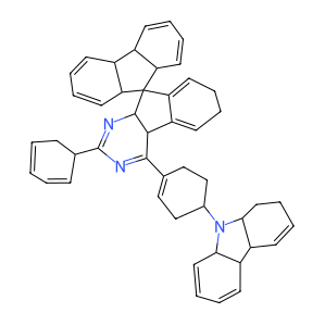 C1=CCC(C2=NC3C(C4=CCCC=C4C34C3C=CC=CC3C3C=CC=CC34)C(C3=CCC(N4C5C=CC=CC5C5C=CCCC54)CC3)=N2)C=C1